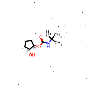 CC(C)(C)NC(=O)O[C@@H]1CCC[C@H]1O